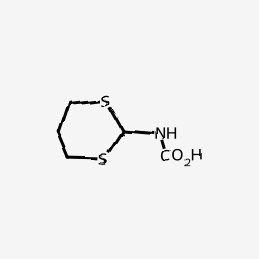 O=C(O)N[C]1SCCCS1